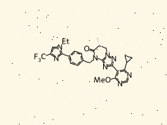 CCn1cc(C(F)(F)F)nc1-c1ccc(CN2C(=O)[C@H](C)Cn3nc(-c4c(OC)ncnc4C4CC4)nc32)cc1